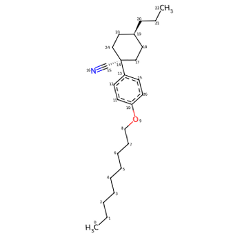 CCCCCCCCCOc1ccc([C@]2(C#N)CC[C@H](CCC)CC2)cc1